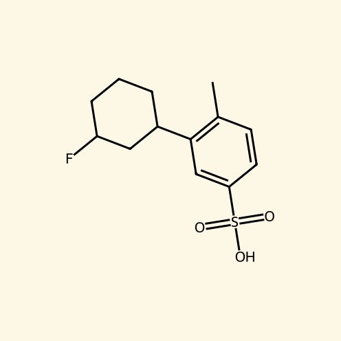 Cc1ccc(S(=O)(=O)O)cc1C1CCCC(F)C1